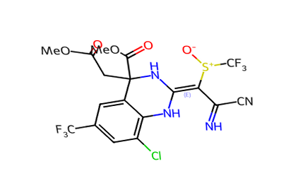 COC(=O)CC1(C(=O)OC)N/C(=C(/C(=N)C#N)[S+]([O-])C(F)(F)F)Nc2c(Cl)cc(C(F)(F)F)cc21